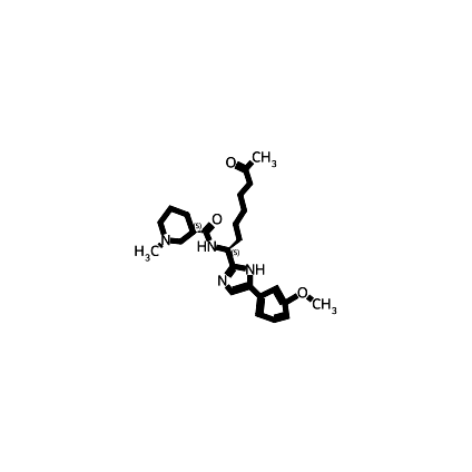 COc1cccc(-c2cnc([C@H](CCCCCC(C)=O)NC(=O)[C@H]3CCCN(C)C3)[nH]2)c1